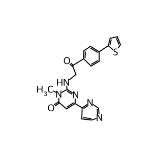 Cn1c(NCC(=O)c2ccc(-c3cccs3)cc2)nc(-c2ccncn2)cc1=O